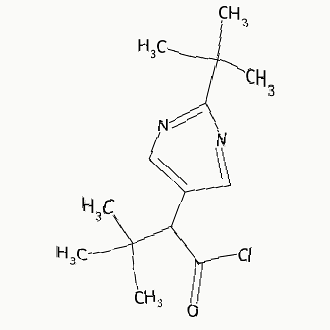 CC(C)(C)c1ncc(C(C(=O)Cl)C(C)(C)C)cn1